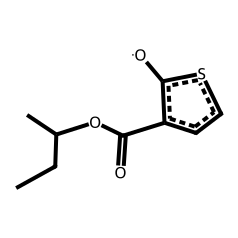 CCC(C)OC(=O)c1ccsc1[O]